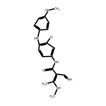 CN/C(C)=C(\C=N)C(=O)Nc1ccc(Nc2ccc(NC)cc2)c(Cl)c1